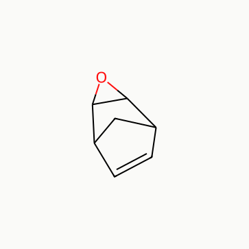 C1=CC2CC1C1OC21